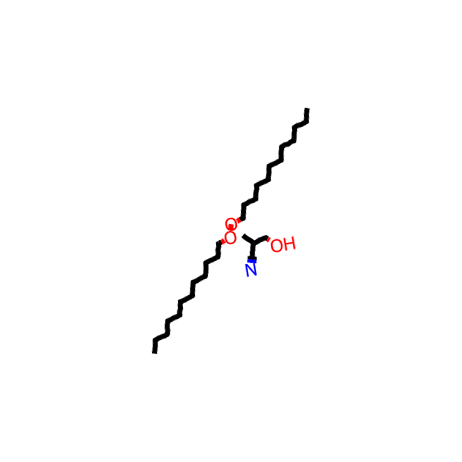 CC(C#N)CO.CCCCCCCCCCCCOOCCCCCCCCCCCC